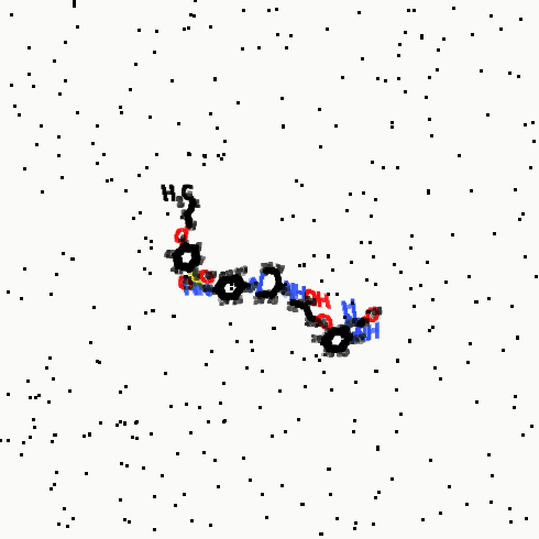 CCCCOc1ccc(S(=O)(=O)Nc2ccc(N3CCC(NC[C@H](O)COc4cccc5[nH]c(=O)[nH]c45)CC3)cc2)cc1